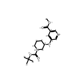 COC(=O)c1cncc(O[C@@H]2CCCN(C(=O)OC(C)(C)C)C2)c1